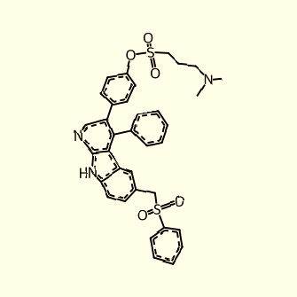 CN(C)CCCS(=O)(=O)Oc1ccc(-c2cnc3[nH]c4ccc(CS(=O)(=O)c5ccccc5)cc4c3c2-c2ccccc2)cc1